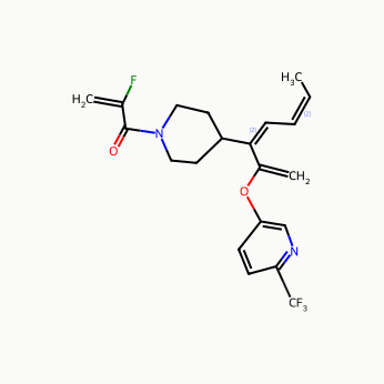 C=C(F)C(=O)N1CCC(/C(=C/C=C\C)C(=C)Oc2ccc(C(F)(F)F)nc2)CC1